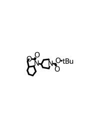 CC(C)(C)OC(=O)N1CCC(N2C(=O)OCC3CCCCC32)CC1